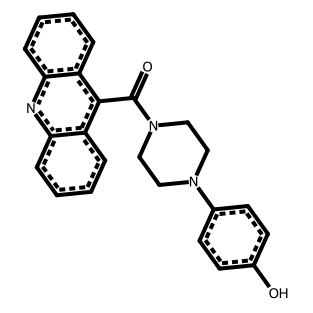 O=C(c1c2ccccc2nc2ccccc12)N1CCN(c2ccc(O)cc2)CC1